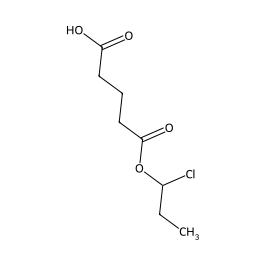 CCC(Cl)OC(=O)CCCC(=O)O